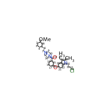 COc1cccc(CCN2CCN(C(=O)c3cccc(Oc4ccc5c(c4)c(C)c(C)n5CCCCl)c3)CC2)c1